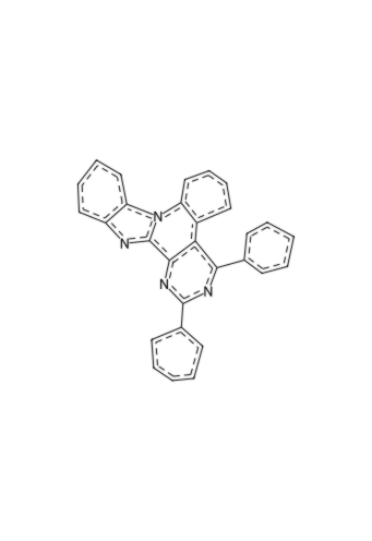 c1ccc(-c2nc(-c3ccccc3)c3c4ccccc4n4c5ccccc5nc4c3n2)cc1